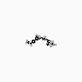 CC(C)(C)c1cc(CNC(=O)C=CC2Cc3cc(-c4ccc(C(=O)N5CC(F)(F)C5)cc4)cc(Cl)c3O2)cnc1NC(=O)O